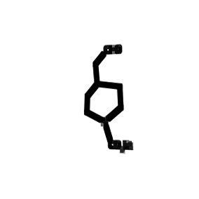 CCOC(=O)N1CCC(CC=O)CC1